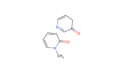 Cn1ccccc1=O.O=C1C=NC=CC1